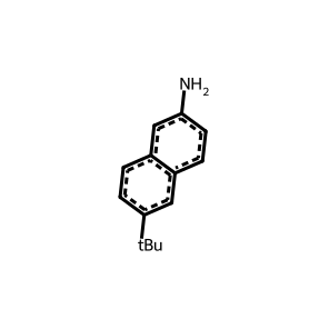 CC(C)(C)c1ccc2cc(N)ccc2c1